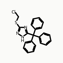 ClCSc1n[nH]c(C(c2ccccc2)(c2ccccc2)c2ccccc2)n1